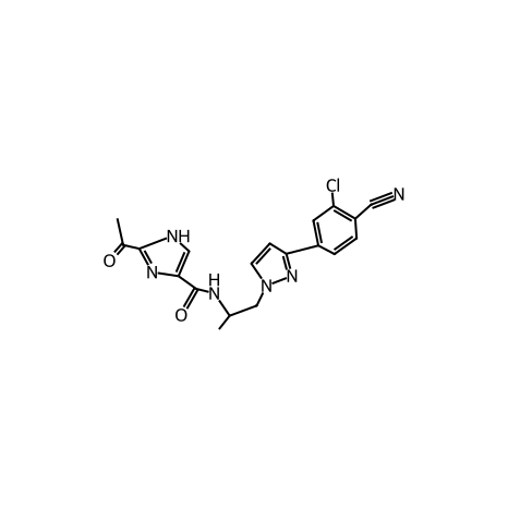 CC(=O)c1nc(C(=O)NC(C)Cn2ccc(-c3ccc(C#N)c(Cl)c3)n2)c[nH]1